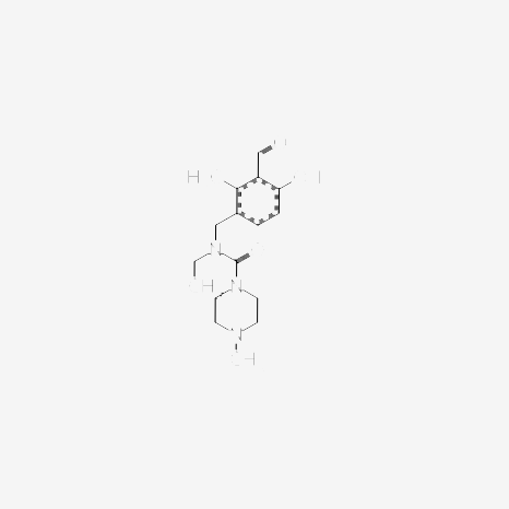 CCN(Cc1ccc(O)c(C=O)c1C)C(=O)N1CCN(C)CC1